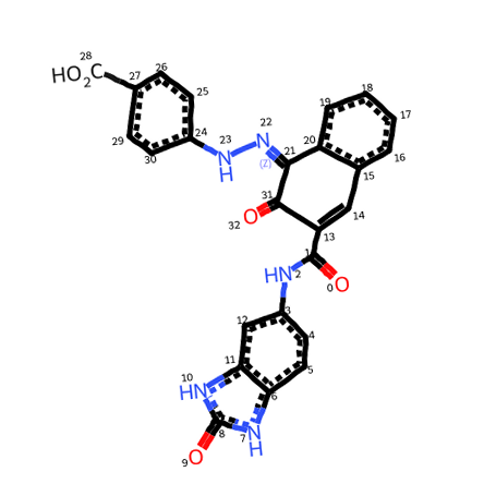 O=C(Nc1ccc2[nH]c(=O)[nH]c2c1)C1=Cc2ccccc2/C(=N/Nc2ccc(C(=O)O)cc2)C1=O